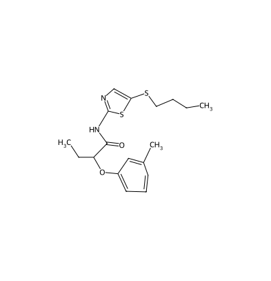 CCCCSc1cnc(NC(=O)C(CC)Oc2cccc(C)c2)s1